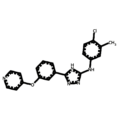 Cc1cc(Nc2nnc(-c3cccc(Oc4ccncc4)c3)[nH]2)ccc1Cl